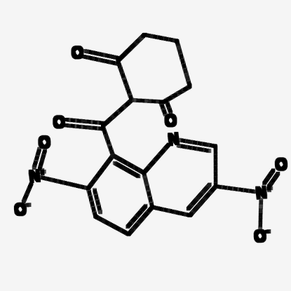 O=C1CCCC(=O)C1C(=O)c1c([N+](=O)[O-])ccc2cc([N+](=O)[O-])cnc12